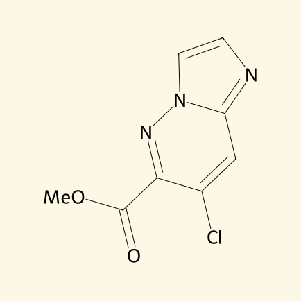 COC(=O)c1nn2ccnc2cc1Cl